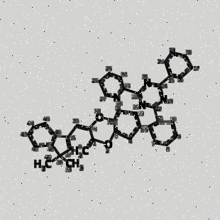 C=C1Oc2cc(-c3ccccc3-c3nc(-c4ccccc4)nc(-c4ccccn4)n3)ccc2O/C1=C/C1=CC(C)(C)c2ccccc21